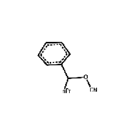 CCCC(OC#N)c1ccccc1